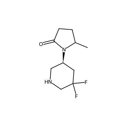 CC1CCC(=O)N1[C@@H]1CNCC(F)(F)C1